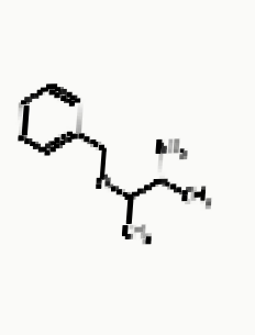 CC(N)C(C)OCc1ccccc1